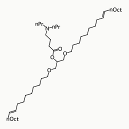 CCCCCCCCC=CCCCCCCCCOCC(COCCCCCCCCC=CCCCCCCCC)OC(=O)CCCN(CCC)CCC